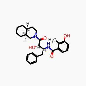 Cc1c(O)cccc1C(=O)N[C@@H](Cc1ccccc1)[C@H](O)C(=O)N1CC[C@@H]2CCCC[C@@H]2C1